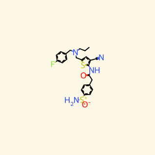 CCCN(Cc1ccc(F)cc1)Cc1cc(C#N)c(NC(=O)Cc2ccc([S+](N)[O-])cc2)s1